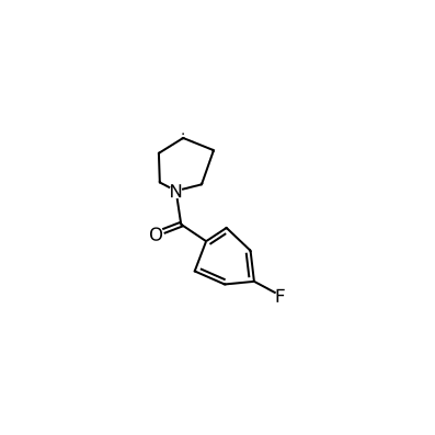 O=C(c1ccc(F)cc1)N1CC[CH]CC1